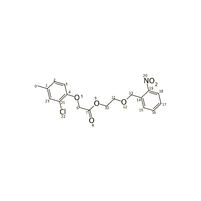 Cc1ccc(OCC(=O)OCCOCc2ccccc2[N+](=O)[O-])c(Cl)c1